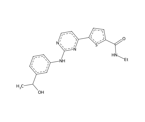 CCNC(=O)c1ccc(-c2ccnc(Nc3cccc(C(C)O)c3)n2)s1